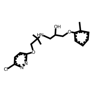 Cc1ccccc1OCC(O)CNC(C)(C)COc1ccc(Cl)nn1